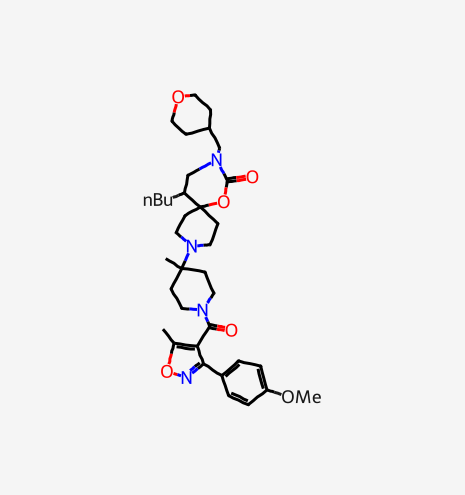 CCCCC1CN(CC2CCOCC2)C(=O)OC12CCN(C1(C)CCN(C(=O)c3c(-c4ccc(OC)cc4)noc3C)CC1)CC2